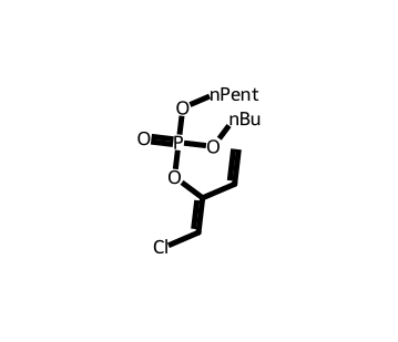 C=C/C(=C/Cl)OP(=O)(OCCCC)OCCCCC